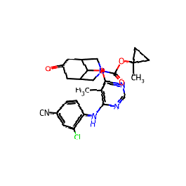 [C-]#[N+]c1ccc(Nc2ncnc(OC3C4CC(=O)CC3CN(C(=O)OC3(C)CC3)C4)c2C)c(Cl)c1